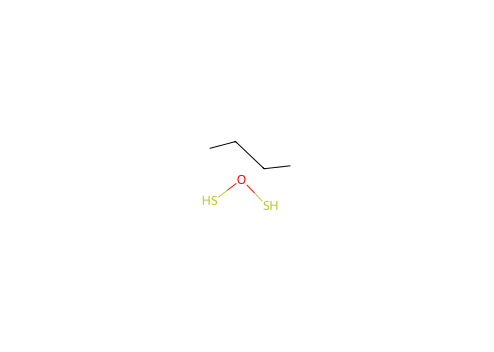 CCCC.SOS